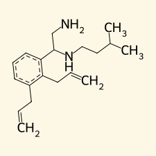 C=CCc1cccc(C(CN)NCCC(C)C)c1CC=C